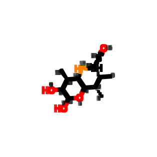 CC[C@H](C)C1OC(O)C(O)[C@@H](C)[C@@H]1PBB=O